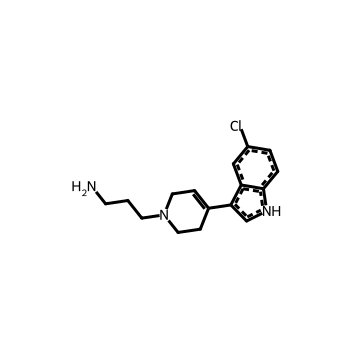 NCCCN1CC=C(c2c[nH]c3ccc(Cl)cc23)CC1